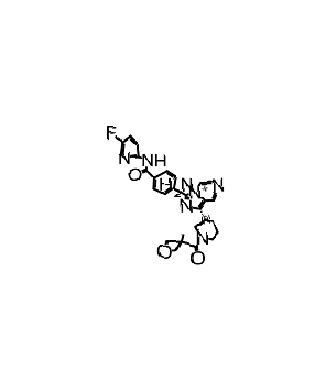 CC1(C(=O)N2CCC[C@@H](C3=C4C=NC=C[N+]4(N)C(c4ccc(C(=O)Nc5ccc(F)cn5)cc4)=N3)C2)COC1